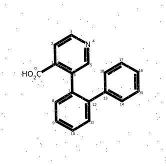 O=C(O)c1ccncc1-c1ccccc1-c1ccccc1